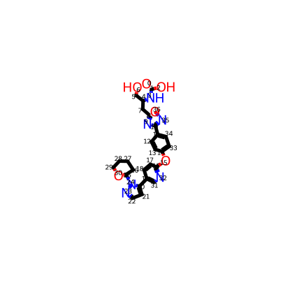 O=C(O)NC(CO)Cc1nc(-c2ccc(Oc3ccc(-c4ccnn4C4CCCCO4)cn3)cc2)no1